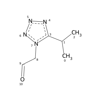 CC(C)c1nnnn1C[C]=O